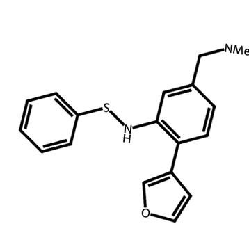 CNCc1ccc(-c2ccoc2)c(NSc2ccccc2)c1